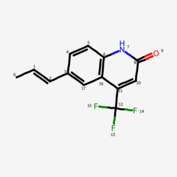 CC=Cc1ccc2[nH]c(=O)cc(C(F)(F)F)c2c1